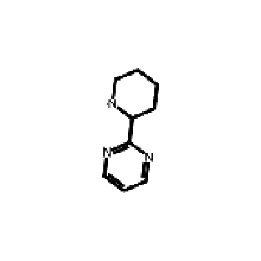 c1cnc(C2CCCC[N]2)nc1